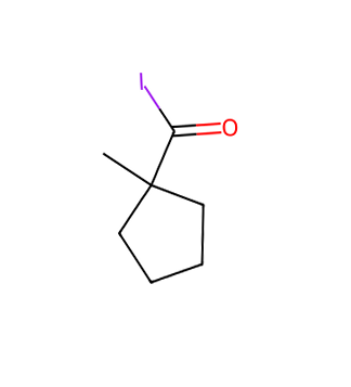 CC1(C(=O)I)CCCC1